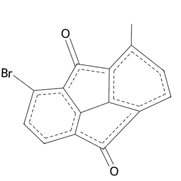 Cc1ccc2c3c1c(=O)c1c(Br)ccc(c1-3)c2=O